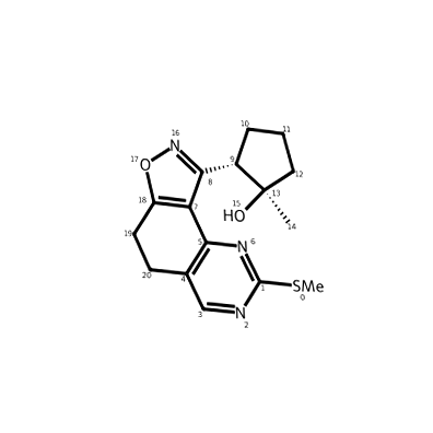 CSc1ncc2c(n1)-c1c([C@@H]3CCC[C@@]3(C)O)noc1CC2